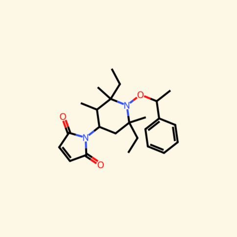 CCC1(C)CC(N2C(=O)C=CC2=O)C(C)C(C)(CC)N1OC(C)c1ccccc1